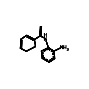 C=C(Nc1ccccc1N)C1=CC=CCC1